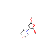 O=C1C=C(N2CCOCC2)C(=O)O1